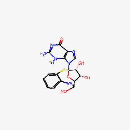 [2H]n1c(N)nc(=O)c2ncn([C@]3(Sc4ccccc4N)O[C@H](CO)[C@@H](O)[C@H]3O)c21